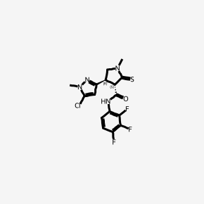 CN1C[C@H](c2cc(Cl)n(C)n2)[C@@H](C(=O)Nc2ccc(F)c(F)c2F)C1=S